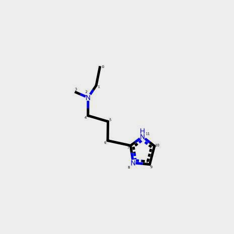 CCN(C)CCCc1ncc[nH]1